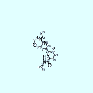 CCCN1CCOCc2cc(-c3cc(C(=O)NC4CC4)ccc3C)cnc21